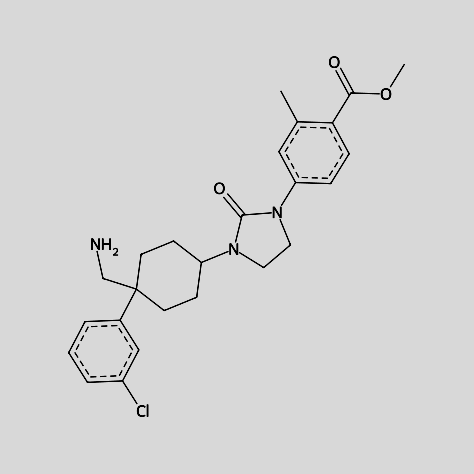 COC(=O)c1ccc(N2CCN(C3CCC(CN)(c4cccc(Cl)c4)CC3)C2=O)cc1C